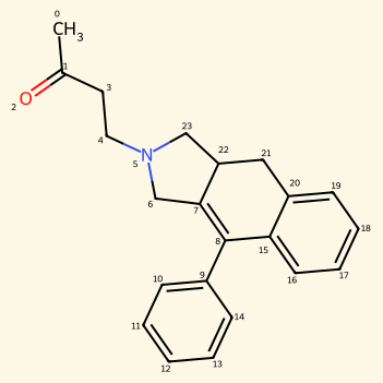 CC(=O)CCN1CC2=C(c3ccccc3)c3ccccc3CC2C1